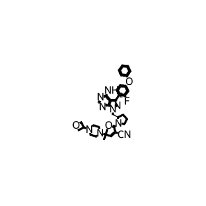 CC(C)(/C=C(/C#N)C(=O)N1CCC[C@@H]1Cn1nc(-c2ccc(Oc3ccccc3)cc2F)c2c(N)ncnc21)N1CCN(C2COC2)CC1